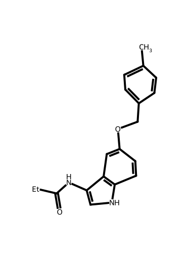 CCC(=O)Nc1c[nH]c2ccc(OCc3ccc(C)cc3)cc12